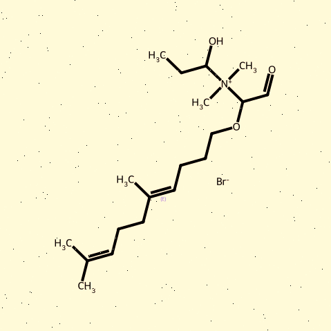 CCC(O)[N+](C)(C)C(C=O)OCCC/C=C(\C)CCC=C(C)C.[Br-]